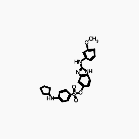 COc1cccc(Nc2nc3cc(OS(=O)(=O)c4ccc(NC5CCCC5)cc4)ccc3[nH]2)c1